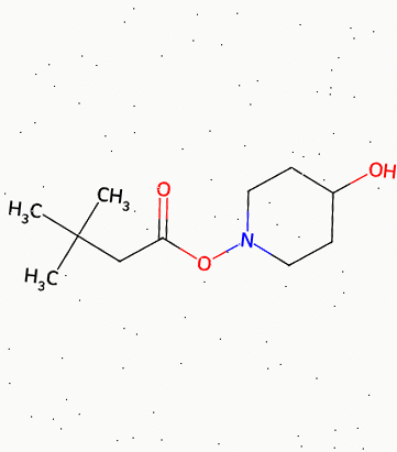 CC(C)(C)CC(=O)ON1CCC(O)CC1